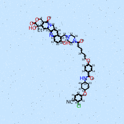 CC[C@@]1(O)C(=O)OCc2c1cc1n(c2=O)Cc2cc3c(CN4CCN(C(=O)CCCCCOc5ccc(C(=O)NC6CCC(Oc7ccc(C#N)c(Cl)c7)CC6)cc5)CC4)c(O)ccc3nc2-1